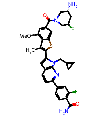 COc1cc(C(=O)N2CC(F)C[C@@H](N)C2)cc2sc(-c3cc4ccc(-c5ccc(C(N)=O)c(F)c5)nc4n3CC3CC3)c(C)c12